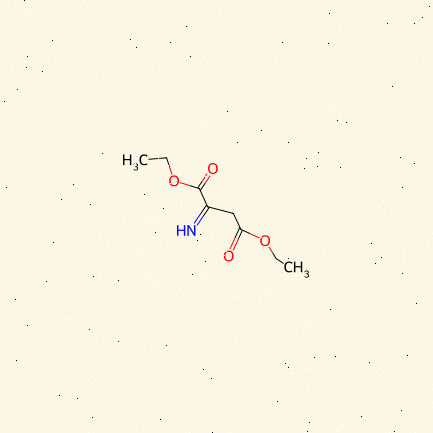 CCOC(=O)CC(=N)C(=O)OCC